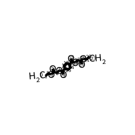 C=CCOC(=O)COC(=O)c1ccc(C(=O)OCC(=O)OCC=C)cc1